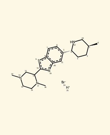 C[C@H]1CC[C@H](c2ccc3sc(C4CN(C)CCN4C)nc3c2)NC1.[Br-].[H+]